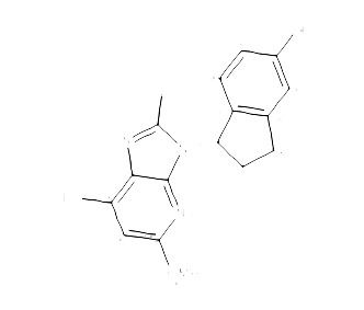 CCc1nc2c(C)cc(OC)nc2n1[C@H]1CCc2cc(Br)ccc21